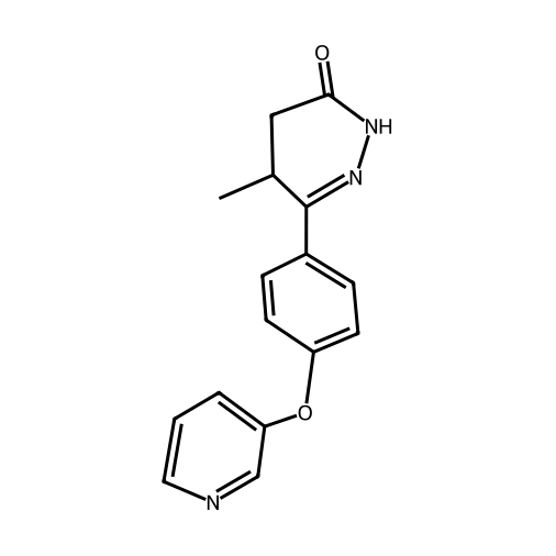 CC1CC(=O)NN=C1c1ccc(Oc2cccnc2)cc1